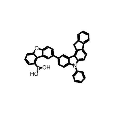 OB(O)c1cccc2oc3ccc(-c4ccc5c(c4)c4c6c(ccc4n5-c4ccccc4)-c4ccccc4C6)cc3c12